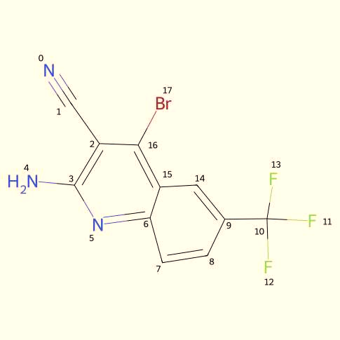 N#Cc1c(N)nc2ccc(C(F)(F)F)cc2c1Br